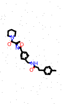 Cc1ccc(CCC(=O)NCc2ccc(-c3nc(C(=O)N4CCCCC4)co3)cc2)cc1